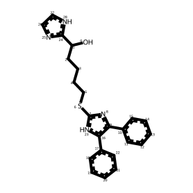 OC(CCCCSc1nc(-c2ccccc2)c(-c2ccccc2)[nH]1)c1ncc[nH]1